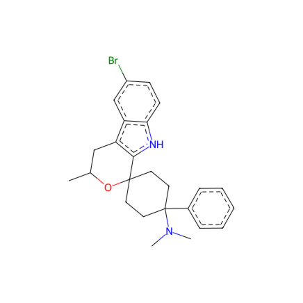 CC1Cc2c([nH]c3ccc(Br)cc23)C2(CCC(c3ccccc3)(N(C)C)CC2)O1